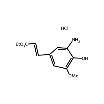 CCOC(=O)C=Cc1cc(N)c(O)c(OC)c1.Cl